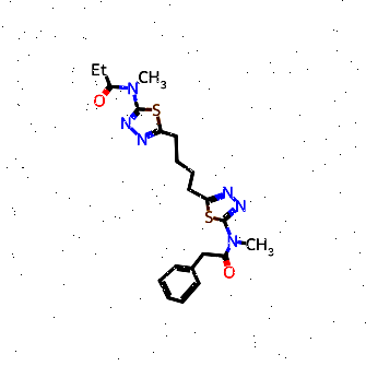 CCC(=O)N(C)c1nnc(CCCCc2nnc(N(C)C(=O)Cc3ccccc3)s2)s1